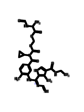 CCNC(=O)c1c[nH]c(/C(=N\C=N)Nc2cc(C(=O)N(C(=O)OCOC(=O)C(C)NC=O)C3CC3)ccc2C)c1C